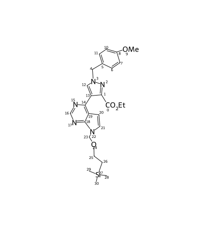 CCOC(=O)c1nn(Cc2ccc(OC)cc2)cc1-c1ncnc2c1ccn2COCC[Si](C)(C)C